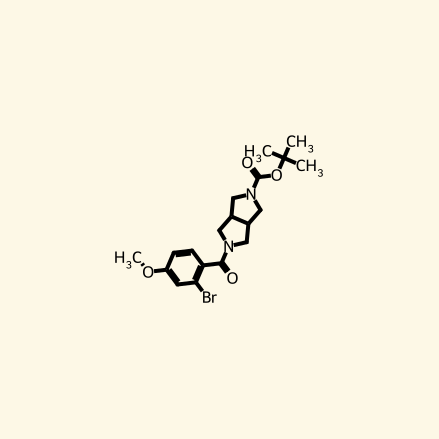 COc1ccc(C(=O)N2CC3CN(C(=O)OC(C)(C)C)CC3C2)c(Br)c1